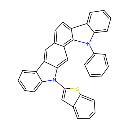 c1ccc(-n2c3ccccc3c3ccc4cc5c6ccccc6n(-c6cc7ccccc7s6)c5cc4c32)cc1